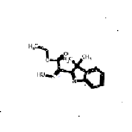 CCOC(=O)/C(=N\O)C1=Nc2ccccc2C1(C)C